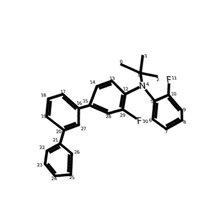 CC(C)(C)N(c1ccccc1F)c1ccc(-c2cccc(-c3ccccc3)c2)cc1F